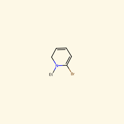 CCN1CC=CC=C1Br